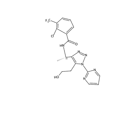 C[C@H](NC(=O)c1cccc(C(F)(F)F)c1Cl)c1nnn(-c2ncccn2)c1CCO